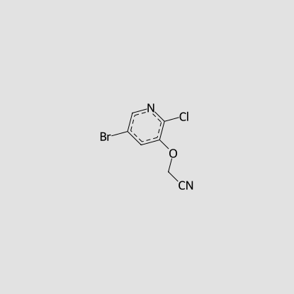 N#CCOc1cc(Br)cnc1Cl